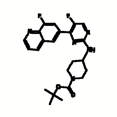 CC(C)(C)OC(=O)N1CCC(Nc2ncc(F)c(-c3cc(F)c4ncccc4c3)n2)CC1